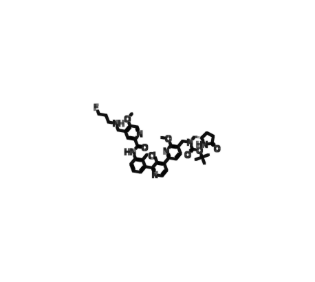 COc1cnc(C(=O)Nc2cccc(-c3nccc(-c4ccc(CN(C[C@@H]5CCC(=O)N5)C(=O)OC(C)(C)C)c(OC)n4)c3Cl)c2C)cc1CNCCCF